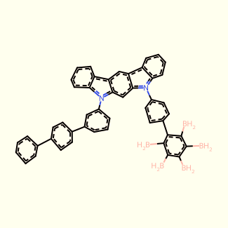 Bc1c(B)c(B)c(-c2ccc(-n3c4ccccc4c4cc5c6ccccc6n(-c6cccc(-c7ccc(-c8ccccc8)cc7)c6)c5cc43)cc2)c(B)c1B